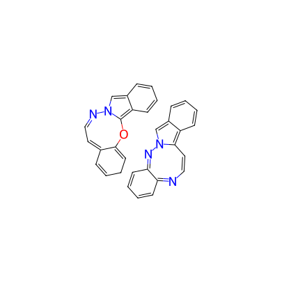 C1=Cc2c3ccccc3cn2N=c2ccccc2=N1.C1=Cc2ccnn3cc4ccccc4c3oc2=CC1